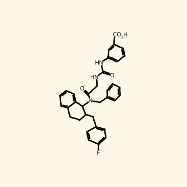 O=C(NCC(=O)N(Cc1ccccc1)C1c2ccccc2CCC1Cc1ccc(F)cc1)Nc1cccc(C(=O)O)c1